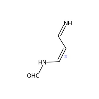 N=C/C=C\NC=O